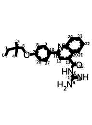 CCC(C)(C)COc1ccc(-c2cc(C(=O)NC(=N)N)c3ccccc3n2)cc1